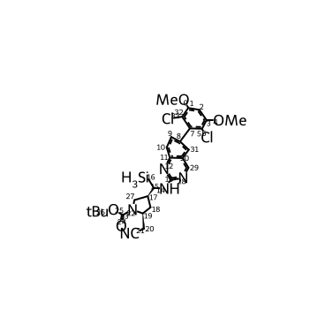 COc1cc(OC)c(Cl)c(-c2ccc3nc(NC([SiH3])[C@H]4C[C@@H](CC#N)N(C(=O)OC(C)(C)C)C4)ncc3c2)c1Cl